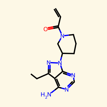 C=CC(=O)N1CCCC(n2nc(CC)c3c(N)ncnc32)C1